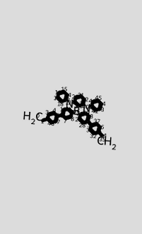 C=Cc1ccc(-c2ccc3c(c2)N(c2ccccc2)c2cccc4c2B3c2ccc(-c3ccc(C=C)cc3)cc2N4c2ccccc2)cc1